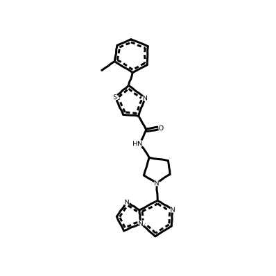 Cc1ccccc1-c1nc(C(=O)NC2CCN(c3nccn4ccnc34)C2)cs1